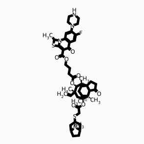 C=C[C@@]1(C)C[C@H](OC(=O)CSC2CC3CCC(C2)N3C)[C@@]2(C)C(C)CCC3(CCC(=O)C32)[C@H](C)[C@@H]1OC(=O)CCCOC(=O)c1c2n(c3cc(N4CCNCC4)c(F)cc3c1=O)C(C)S2